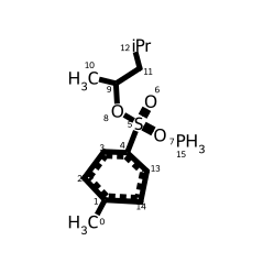 Cc1ccc(S(=O)(=O)OC(C)CC(C)C)cc1.P